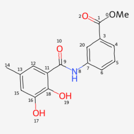 COC(=O)c1cccc(NC(=O)c2cc(C)cc(O)c2O)c1